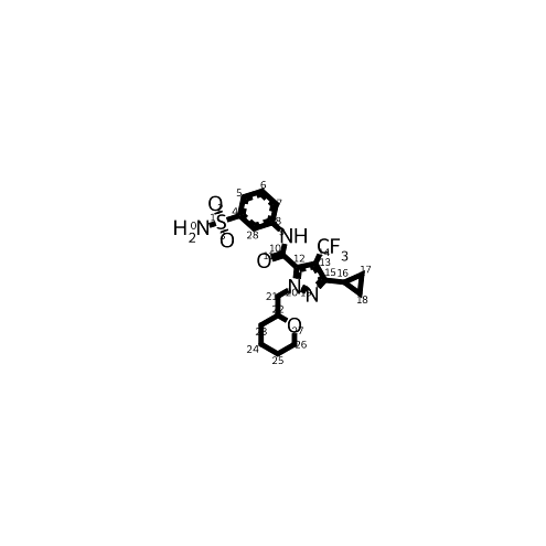 NS(=O)(=O)c1cccc(NC(=O)c2c(C(F)(F)F)c(C3CC3)nn2CC2CCCCO2)c1